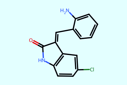 Nc1ccccc1C=C1C(=O)Nc2ccc(Cl)cc21